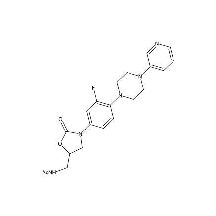 CC(=O)NCC1CN(c2ccc(N3CCN(c4cccnc4)CC3)c(F)c2)C(=O)O1